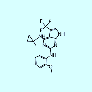 COc1c[c]ccc1Nc1nc(NC2(C)CC2)c2c(C(F)(F)F)c[nH]c2n1